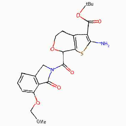 COCOc1cccc2c1C(=O)N(C(=O)C1OCCc3c1sc(N)c3C(=O)OC(C)(C)C)C2